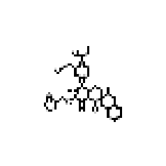 C=CC(=O)N1CCN(C2NC(OCC3CCCN3C)NC3C(=O)C4(CCC32)Cc2ccccc2CC4C)CC1CC#N